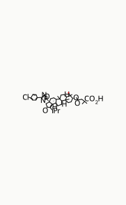 CC(C)C1=C2[C@H]3CC[C@@H]4C5(C)CC[C@H](OC(=O)CC(C)(C)C(=O)O)C(C)(C)[C@@H]5CCC4(C)[C@]3(C)CC[C@@]2(c2nc(-c3ccc(Cl)cc3)no2)CC1=O